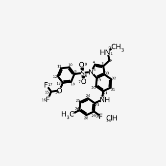 CNCc1cn(S(=O)(=O)c2cccc(OC(F)F)c2)c2cc(Nc3ccc(C)cc3F)ccc12.Cl